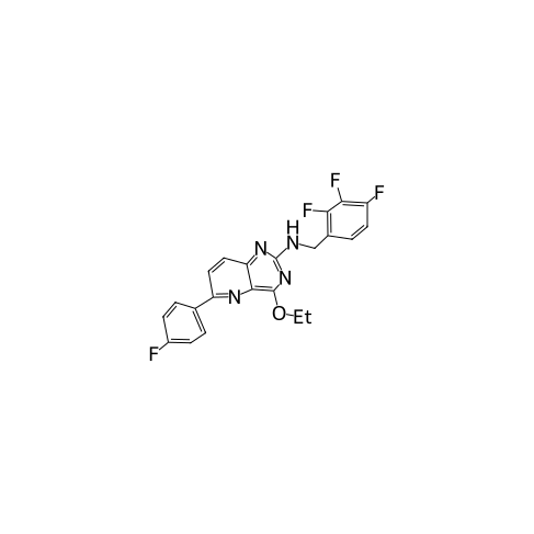 CCOc1nc(NCc2ccc(F)c(F)c2F)nc2ccc(-c3ccc(F)cc3)nc12